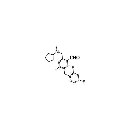 Cc1cc(CN(C)C2CCCC2)c(C=O)cc1Cc1ccc(F)cc1F